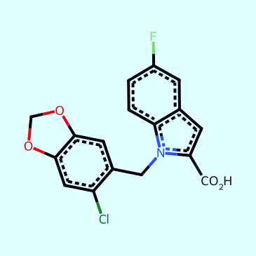 O=C(O)c1cc2cc(F)ccc2n1Cc1cc2c(cc1Cl)OCO2